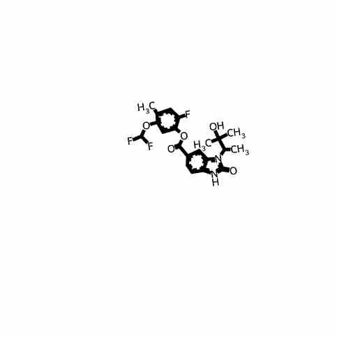 Cc1cc(F)c(OC(=O)c2ccc3[nH]c(=O)n(C(C)C(C)(C)O)c3c2)cc1OC(F)F